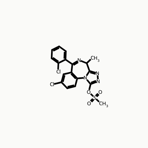 CC1N=C(c2ccccc2Cl)c2cc(Cl)ccc2-n2c(OS(C)(=O)=O)nnc21